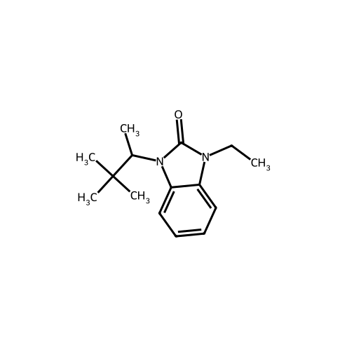 CCn1c(=O)n(C(C)C(C)(C)C)c2ccccc21